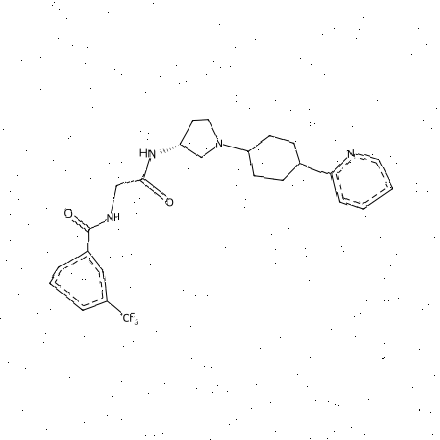 O=C(CNC(=O)c1cccc(C(F)(F)F)c1)N[C@@H]1CCN(C2CCC(c3ccccn3)CC2)C1